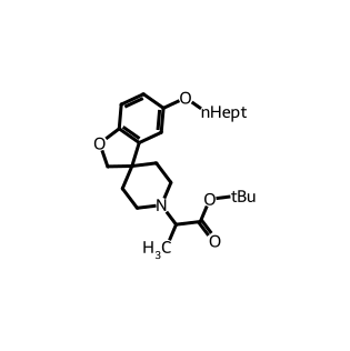 CCCCCCCOc1ccc2c(c1)C1(CCN(C(C)C(=O)OC(C)(C)C)CC1)CO2